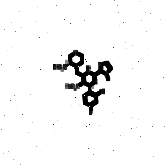 CCOC(=O)C1=C(CN2CCOC[C@H]2C(=O)O)NC(c2nccn2C)=N[C@H]1c1ccc(F)cc1Cl